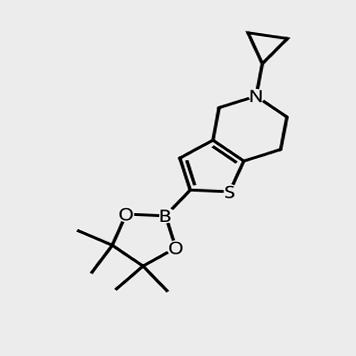 CC1(C)OB(c2cc3c(s2)CCN(C2CC2)C3)OC1(C)C